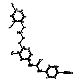 N#Cc1cnc(NC(=O)Nc2ccc(CCNCc3ccc(F)cc3F)c(Cl)c2)cn1